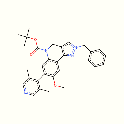 COc1cc2c(cc1-c1c(C)cncc1C)N(C(=O)OC(C)(C)C)Cc1cn(Cc3ccccc3)nc1-2